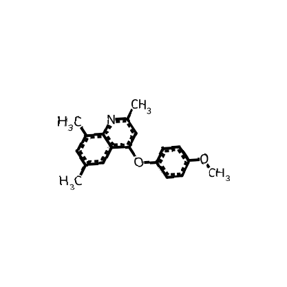 COc1ccc(Oc2cc(C)nc3c(C)cc(C)cc23)cc1